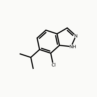 CC(C)c1ccc2cn[nH]c2c1Cl